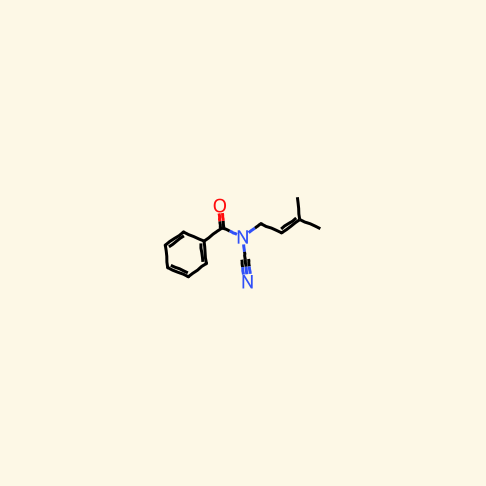 CC(C)=CCN(C#N)C(=O)c1ccccc1